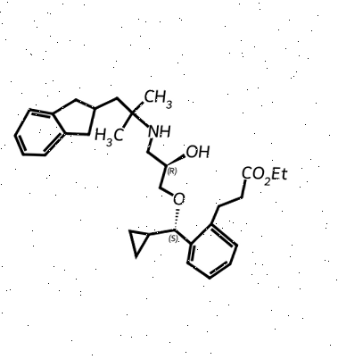 CCOC(=O)CCc1ccccc1[C@@H](OC[C@H](O)CNC(C)(C)CC1Cc2ccccc2C1)C1CC1